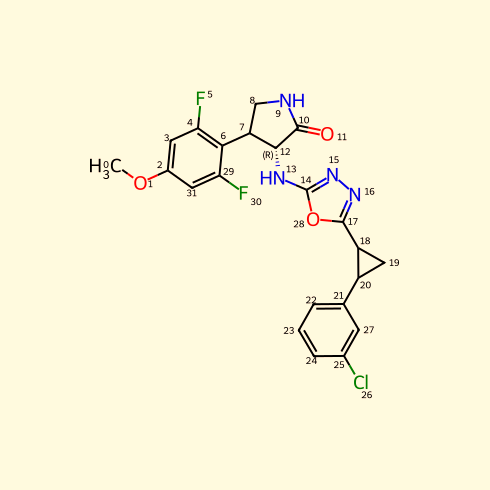 COc1cc(F)c(C2CNC(=O)[C@@H]2Nc2nnc(C3CC3c3cccc(Cl)c3)o2)c(F)c1